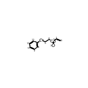 C=[CH][Co](=[O])[CH2]COc1ccccc1